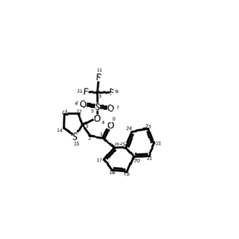 O=C(CC1(OS(=O)(=O)C(F)(F)F)CCCS1)c1cccc2ccccc12